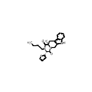 CCCCN1C(=O)[C@@H]2Cc3c([nH]c4ccccc34)CN2C(=O)[C@@H]1c1cccs1